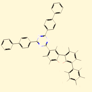 Bc1c(B)c(B)c(-c2c(B)c(B)c(B)c3c2oc2c(B)c(B)c(-c4nc(-c5ccc(-c6ccccc6)cc5)nc(-c5ccc(-c6ccccc6)cc5)n4)c(B)c23)c(B)c1B